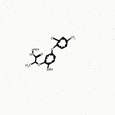 CCCCCCNC(=O)C(C)Oc1cc(Oc2ccc(C(F)(F)F)cc2Cl)ccc1SC